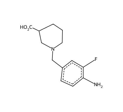 Nc1ccc(CN2CCCC(C(=O)O)C2)cc1F